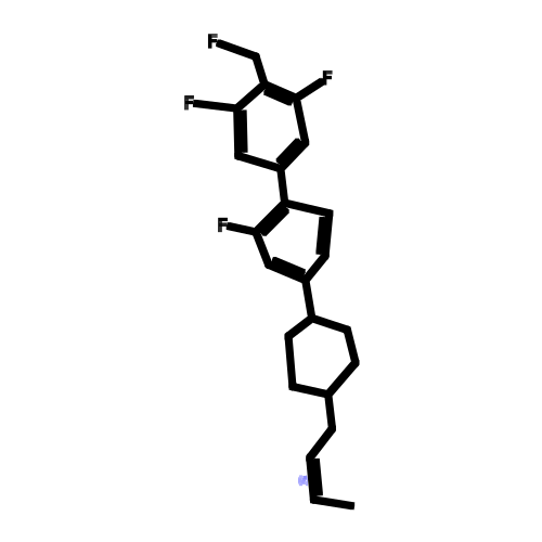 C/C=C\CC1CCC(c2ccc(-c3cc(F)c(CF)c(F)c3)c(F)c2)CC1